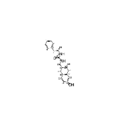 C[C@H](Cc1ccccc1)NC(=O)NC[C@@H]1Cc2ccc(O)cc2CN1C